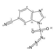 N#Cc1ccc2ncn(S(=O)(=O)N=[N+]=[N-])c2c1